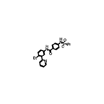 CCc1ccc(NC(=O)c2ccc(NS(=O)(=O)C(C)C)cc2)cc1-c1ccccn1